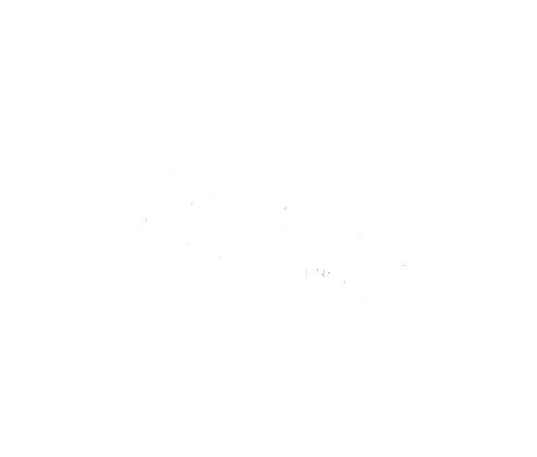 Cc1ccc2[nH]c3c(c2c1)CCCC3CC1CCC(c2ccccc2)CC1